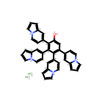 Cl.Cl.Oc1cc(-c2ccn3cccc3c2)c(-c2ccn3cccc3c2)c(-c2ccn3cccc3c2)c1-c1ccn2cccc2c1